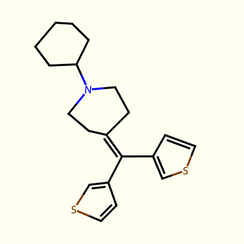 c1cc(C(=C2CCN(C3CCCCC3)CC2)c2ccsc2)cs1